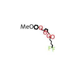 COc1ccc(OCc2ccc(COC(=O)CCCC=C(F)F)o2)cc1